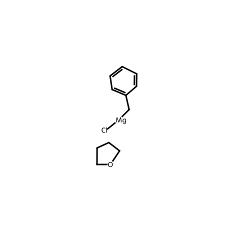 C1CCOC1.[Cl][Mg][CH2]c1ccccc1